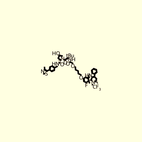 Cc1ncsc1-c1ccc(CNC(=O)[C@@H]2C[C@@H](O)CN2C(=O)[C@@H](NC(=O)COCCCCCOC2=CC(F)C(C)([C@@H]3c4[nH]c5ccccc5c4C[C@@H](C)N3CC(F)(F)F)C(F)=C2)C(C)(C)C)cc1